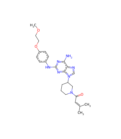 COCCOc1ccc(Nc2nc(N)c3ncn(C4CCCN(C(=O)C=C(C)C)C4)c3n2)cc1